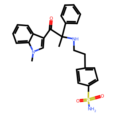 Cn1cc(C(=O)C(C)(NCCc2ccc(S(N)(=O)=O)cc2)c2ccccc2)c2ccccc21